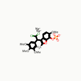 COc1cc(C(c2c(C)oc3c(OP(=O)([O-])[O-])c(OC)ccc23)C(Cl)Cl)cc(OC)c1OC.[Na+].[Na+]